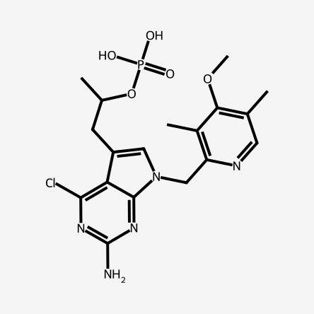 COc1c(C)cnc(Cn2cc(CC(C)OP(=O)(O)O)c3c(Cl)nc(N)nc32)c1C